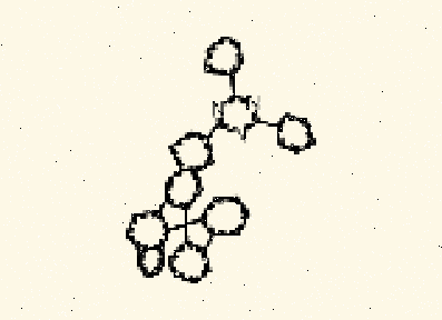 c1ccc(-c2nc(-c3ccccc3)nc(-c3ccc4cc5c(cc4c3)C3(c4ccccc4-c4ccccc43)c3c-5ccc4ccccc34)n2)cc1